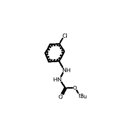 CC(C)(C)OC(=O)NNc1cccc(Cl)c1